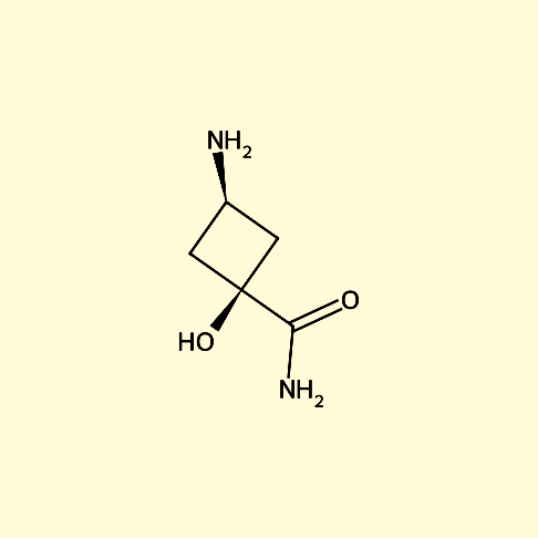 NC(=O)[C@]1(O)C[C@@H](N)C1